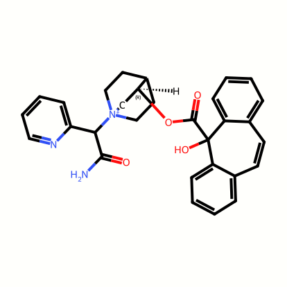 NC(=O)C(c1ccccn1)[N+]12CCC(CC1)[C@@H](OC(=O)C1(O)c3ccccc3C=Cc3ccccc31)C2